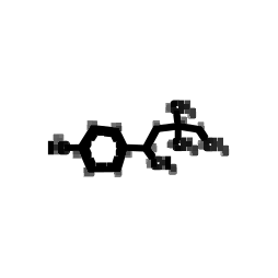 CCC(C)(C)CC(C)c1ccc(O)cc1